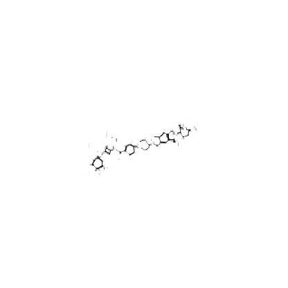 CC1(C)[C@@H](NC(=O)c2ccc(N3CCC(N4Cc5cc6c(cc5C4)C(=O)N(C4CCC(=O)NC4=O)C6)CC3)cc2)C[C@@H]1Oc1ccc(C#N)c(Cl)c1